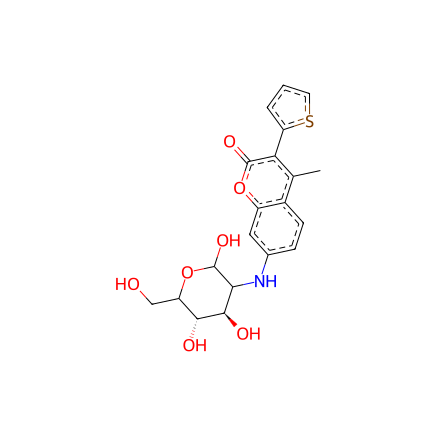 Cc1c(-c2cccs2)c(=O)oc2cc(NC3C(O)OC(CO)[C@@H](O)[C@@H]3O)ccc12